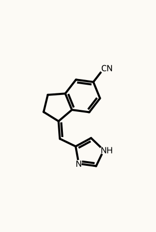 N#Cc1ccc2c(c1)CC/C2=C/c1c[nH]cn1